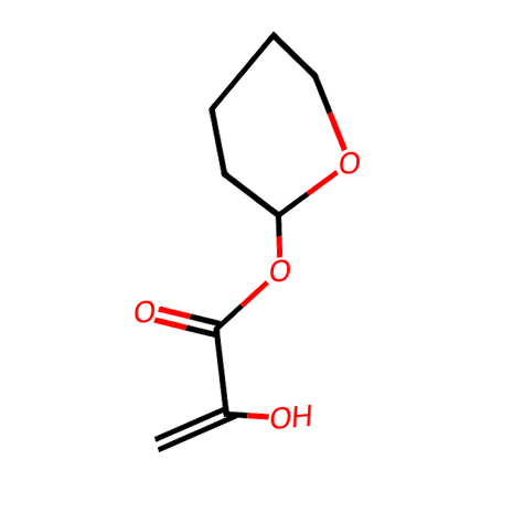 C=C(O)C(=O)OC1CCCCO1